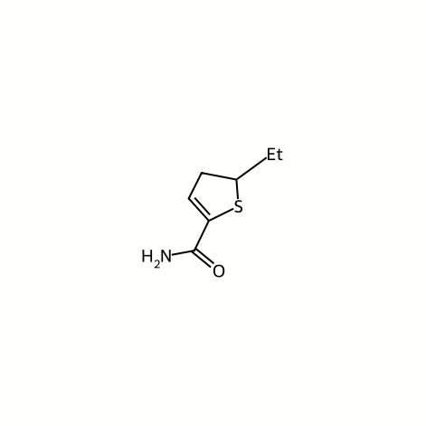 CCC1CC=C(C(N)=O)S1